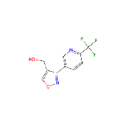 OCc1conc1-c1ccc(C(F)(F)F)nc1